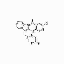 COc1cc(Cl)ncc1[C@@H]1c2[nH]c3ccccc3c2C[C@@H](C)N1CC(F)F